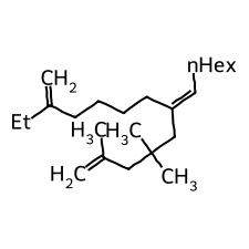 C=C(C)CC(C)(C)CC(=CCCCCCC)CCCCC(=C)CC